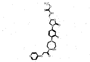 COC(=S)NC[C@H]1CN(c2ccc(N3CCNN(C(=O)CSc4ccncc4)CC3)c(F)c2)C(=O)O1